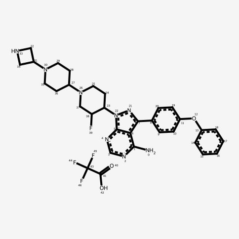 Nc1ncnc2c1c(-c1ccc(Oc3ccccc3)cc1)nn2C1CCN(C2CCN(C3CNC3)CC2)CC1F.O=C(O)C(F)(F)F